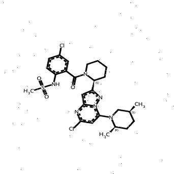 C[C@H]1CC[C@@H](C)N(c2cc(Cl)nc3cc([C@@H]4CCCCN4C(=O)c4cc(Cl)ccc4NS(C)(=O)=O)nn23)C1